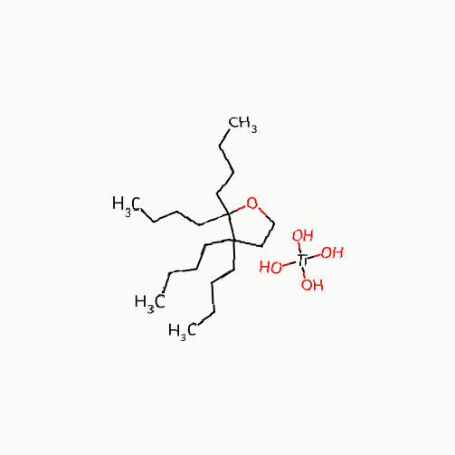 CCCCC1(CCCC)CCOC1(CCCC)CCCC.[OH][Ti]([OH])([OH])[OH]